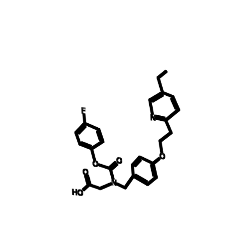 CCc1ccc(CCOc2ccc(CN(CC(=O)O)C(=O)Oc3ccc(F)cc3)cc2)nc1